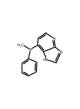 CN(c1ccccc1)c1ccnc2nc[nH]c12